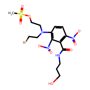 CS(=O)(=O)OCCN(CCBr)c1ccc([N+](=O)[O-])c(C(=O)NCCCO)c1[N+](=O)[O-]